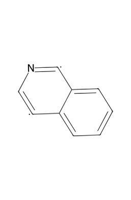 [c]1cn[c]c2ccccc12